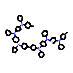 Cc1ccc(N(c2ccccc2)c2ccc(N(c3ccccc3)c3ccc(N(c4ccccc4)c4ccc(-c5ccc(N(c6ccccc6)c6ccc(N(c7ccccc7)c7ccc(N(c8ccccc8)c8ccc(C)cc8)cc7)cc6)cc5)cc4)cc3)cc2)cc1